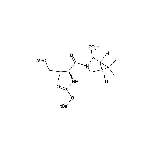 COCC(C)(C)[C@H](NC(=O)OC(C)(C)C)C(=O)N1C[C@H]2[C@@H]([C@H]1C(=O)O)C2(C)C